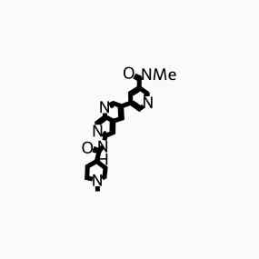 CNC(=O)c1cncc(-c2cnc3cnc(NC(=O)C4CCN(C)CC4)cc3c2)c1